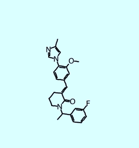 COc1cc(/C=C2\CCCN(C(C)c3cccc(F)c3)C2=O)ccc1-n1cnc(C)c1